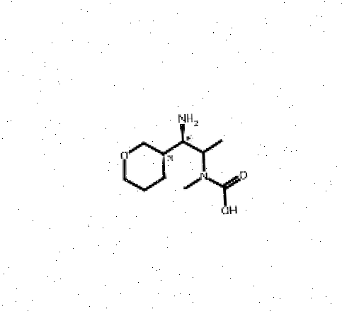 CC([C@H](N)[C@H]1CCCOC1)N(C)C(=O)O